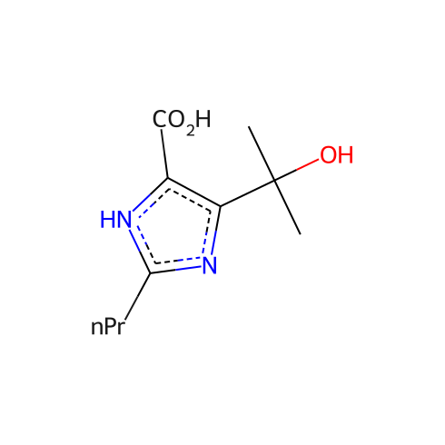 CCCc1nc(C(C)(C)O)c(C(=O)O)[nH]1